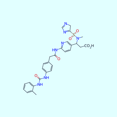 Cc1ccccc1NC(=O)Nc1ccc(CC(=O)Nc2ccc(C(CC(=O)O)N(C)S(=O)(=O)C3=NC=NC3)cn2)cc1